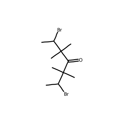 CC(Br)C(C)(C)C(=O)C(C)(C)C(C)Br